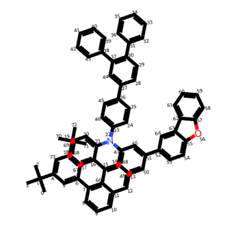 CC(C)(C)c1cc(-c2cccc3cccc(-c4ccccc4N(c4ccc(-c5ccc(-c6ccccc6)c(-c6ccccc6)c5)cc4)c4cccc(-c5ccc6oc7ccccc7c6c5)c4)c23)cc(C(C)(C)C)c1